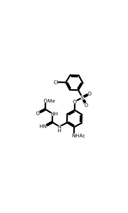 COC(=O)NC(=N)Nc1cc(OS(=O)(=O)c2cccc(Cl)c2)ccc1NC(C)=O